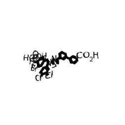 O=C(O)c1cccc(-c2cccc(-c3csc(N(Cc4ccc(C(F)(F)P(=O)(O)O)c(Br)c4)c4ccc(Cl)c(Cl)c4)n3)c2)c1